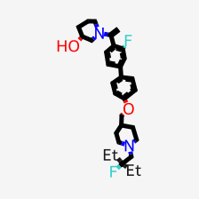 C=C(c1ccc(-c2ccc(OCC3CCN(CC(F)(CC)CC)CC3)cc2)cc1F)N1CCCC(O)C1